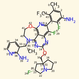 Cc1cc(N)c(F)c(-c2nc3c4c(nc(OC[C@@]56CCCN5C[C@H](F)C6)nc4c2F)N([C@H](C)c2cccnc2N)CCO3)c1C(F)(F)F